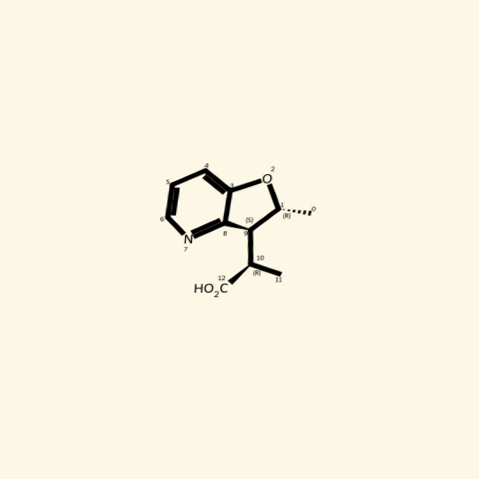 C[C@H]1Oc2cccnc2[C@@H]1[C@@H](C)C(=O)O